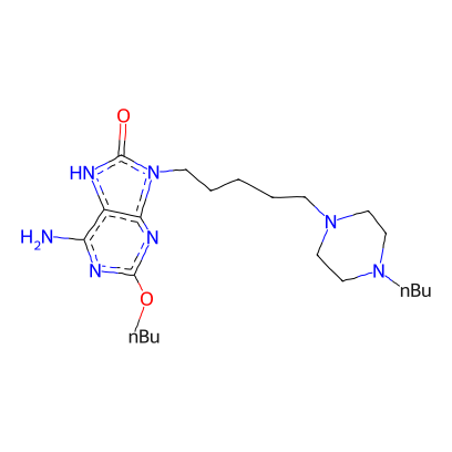 CCCCOc1nc(N)c2[nH]c(=O)n(CCCCCN3CCN(CCCC)CC3)c2n1